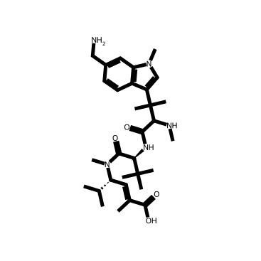 CNC(C(=O)N[C@H](C(=O)N(C)[C@H](/C=C(\C)C(=O)O)C(C)C)C(C)(C)C)C(C)(C)c1cn(C)c2cc(CN)ccc12